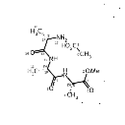 CC(=O)O.COC(=O)[C@H](C)NC(=O)[C@H](C)NC(=O)[C@H](C)N